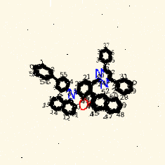 c1ccc(-c2ccc(N(c3cccc4ccccc34)c3ccc(-c4nc(-c5ccccc5)cc(-c5ccccc5)n4)c4c3oc3cc5ccccc5cc34)cc2)cc1